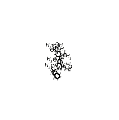 CCc1nc2ccccc2n1-c1nc(N2CCOCC2)c2nc(C3(OC)CCN(C(=O)C(C)(C)O)CC3)n(C)c2n1